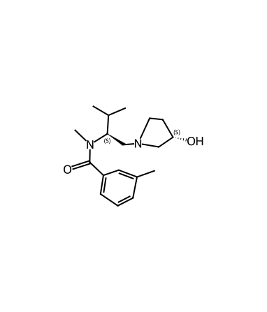 Cc1cccc(C(=O)N(C)[C@H](CN2CC[C@H](O)C2)C(C)C)c1